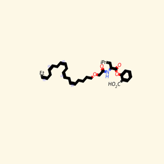 CC/C=C\C/C=C\C/C=C\C/C=C\C/C=C\CCCCOCC(=O)NC(CC(C)C)C(=O)Oc1ccccc1C(=O)O